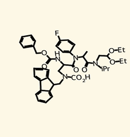 CCOC(CN(C(=O)C(C)N(C(=O)C(CN(CC1c2ccccc2-c2ccccc21)C(=O)O)NC(=O)OCc1ccccc1)c1ccc(F)cc1)C(C)C)OCC